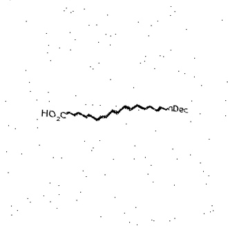 CCCCCCCCCCCC=CCCCCCCCCCCCCCCCC(=O)O